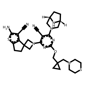 N#Cc1c(N2C[C@H]3CC[C@@H](C2)N3)nc(OCC2(CN3CCSCC3)CC2)nc1N1CC2(CCc3sc(N)c(C#N)c32)C1